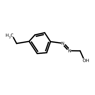 CCc1ccc(N=NCO)cc1